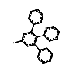 Fc1cc(-c2ccccc2)c(-c2ccccn2)c(-c2ccccc2)c1